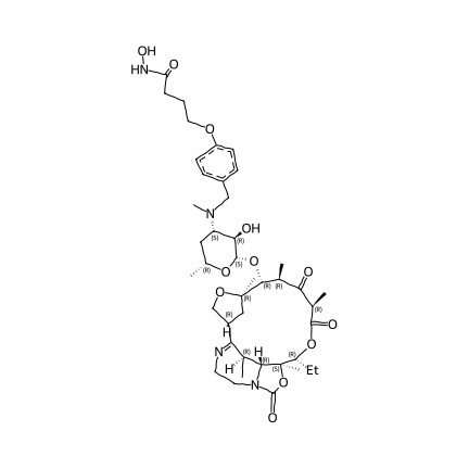 CC[C@H]1OC(=O)[C@H](C)C(=O)[C@H](C)[C@@H](O[C@@H]2O[C@H](C)C[C@H](N(C)Cc3ccc(OCCCC(=O)NO)cc3)[C@H]2O)[C@@]2(C)C[C@@H](CO2)C2=NCCN3C(=O)O[C@@]1(C)[C@H]3[C@H]2C